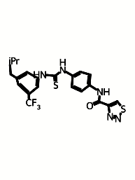 CC(C)Cc1cc(NC(=S)Nc2ccc(NC(=O)c3csnn3)cc2)cc(C(F)(F)F)c1